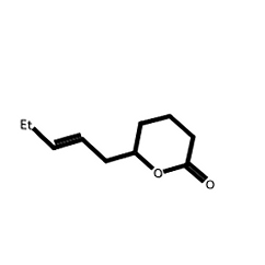 CCC=CCC1CCCC(=O)O1